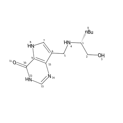 CCCC[C@H](CO)NCc1c[nH]c2c(=O)[nH]cnc12